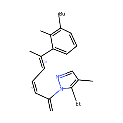 C=C(/C=C\C=C(/C)c1cccc(C(C)CC)c1C)n1ncc(C)c1CC